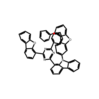 c1ccc(-c2nc(-c3cccc4c3oc3ccccc34)nc(-c3cccc4c5ccccc5n(-c5ccc6c(c5)oc5cccc(-c7ccccc7)c56)c34)n2)cc1